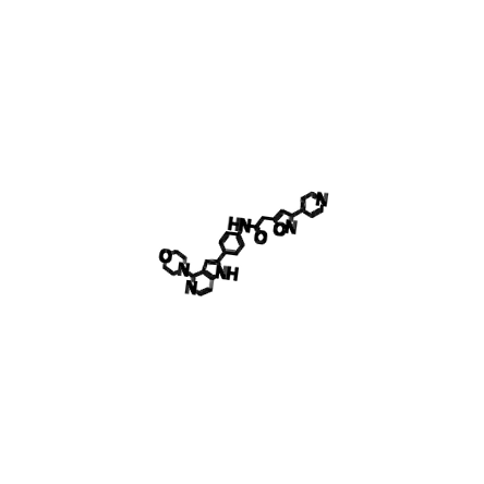 O=C(Cc1cc(-c2ccncc2)no1)Nc1ccc(-c2cc3c(N4CCOCC4)nccc3[nH]2)cc1